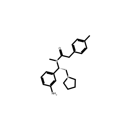 Cc1ccc(CC(=O)N(C)[C@H](CN2CCCC2)c2cccc(N)c2)cc1